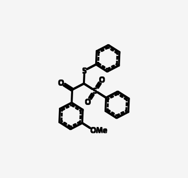 COc1cccc(C(=O)C(Sc2ccccc2)S(=O)(=O)c2ccccc2)c1